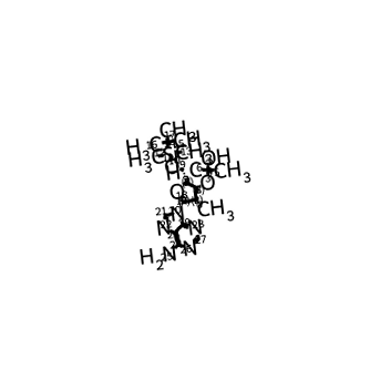 C[C@@H]1[C@H](OC(C)(C)O)[C@@H](CO[Si](C)(C)C(C)(C)C)O[C@H]1n1cnc2c(N)ncnc21